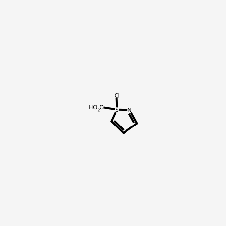 O=C(O)S1(Cl)C=CC=N1